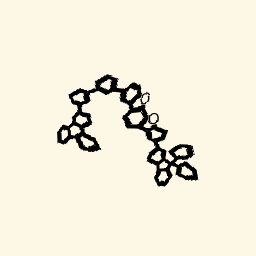 c1ccc(C2(c3ccccc3)c3ccccc3-c3ccc(-c4ccc5oc6c(ccc7c8cc(-c9cccc(-c%10cccc(-c%11ccc%12c%13ccccc%13c%13ccccc%13c%12c%11)c%10)c9)ccc8oc76)c5c4)cc32)cc1